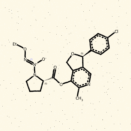 CCO/N=[N+](\[O-])N1CCC[C@H]1C(=O)Oc1c(C)ncc2c1CO[C@H]2c1ccc(Cl)cc1